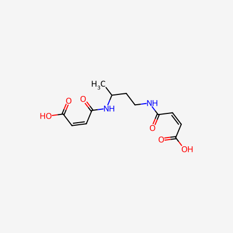 CC(CCNC(=O)/C=C\C(=O)O)NC(=O)/C=C\C(=O)O